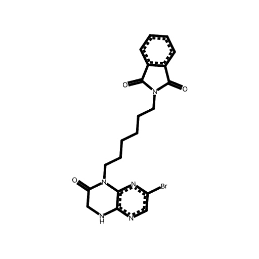 O=C1c2ccccc2C(=O)N1CCCCCCN1C(=O)CNc2ncc(Br)nc21